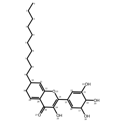 CCCCCCCCCCC1C=c2oc(C3=CC(O)C(O)C(O)=C3)c(O)c(=O)c2=CC1